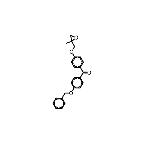 CC1(COc2ccc(C(=O)c3ccc(OCc4ccccc4)cc3)cc2)CO1